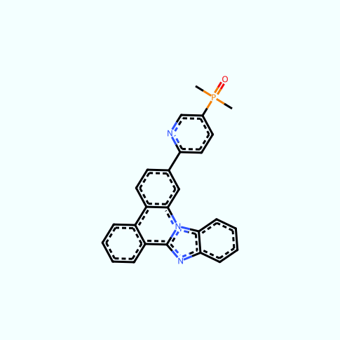 CP(C)(=O)c1ccc(-c2ccc3c4ccccc4c4nc5ccccc5n4c3c2)nc1